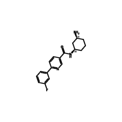 N[C@H]1CCC[C@@H](NC(=O)c2ccc(-c3cccc(F)c3)nc2)C1